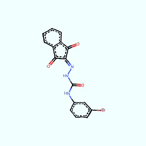 O=C(NN=c1c(=O)c2ccccc2c1=O)Nc1cccc(Br)c1